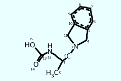 CC(CN1Cc2ccccc2C1)NC(=O)O